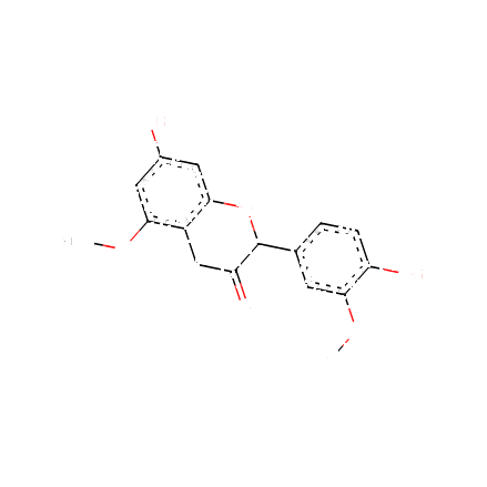 COc1cc(C2Oc3cc(O)cc(OC)c3CC2=O)ccc1O